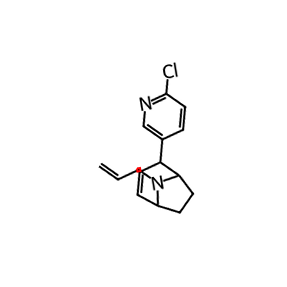 C=CCN1C2C=CC(c3ccc(Cl)nc3)C1CC2